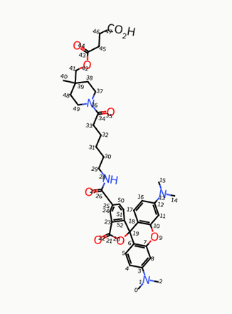 CN(C)c1ccc2c(c1)Oc1cc(N(C)C)ccc1C21OC(=O)c2cc(C(=O)NCCCCCC(=O)N3CCC(C)(COC(=O)CCC(=O)O)CC3)ccc21